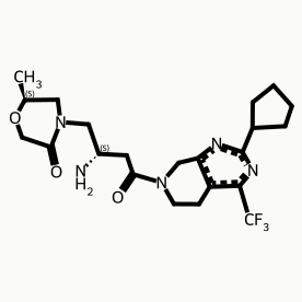 C[C@H]1CN(C[C@@H](N)CC(=O)N2CCc3c(nc(C4CCCC4)nc3C(F)(F)F)C2)C(=O)CO1